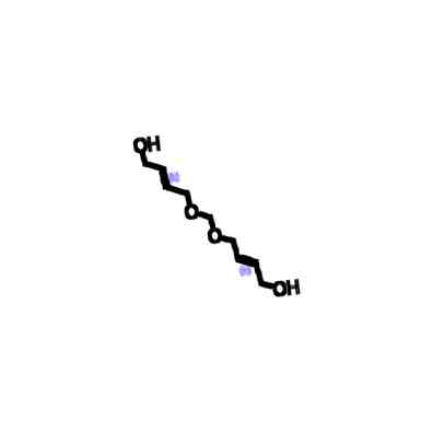 OC/C=C/COCOC/C=C/CO